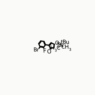 CC(C)(C)[Si](C)(C)O[C@H]1C=C(c2cccc(Br)c2F)C(=O)C1